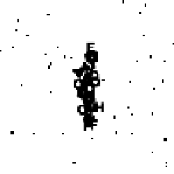 C[C@H](C1CC1)N(Cc1ccc(F)cc1)C(=O)CN1C(=O)O[C@@]2(CCc3cc(NC(=O)N4CC(F)(F)C4)ccc32)C1=O